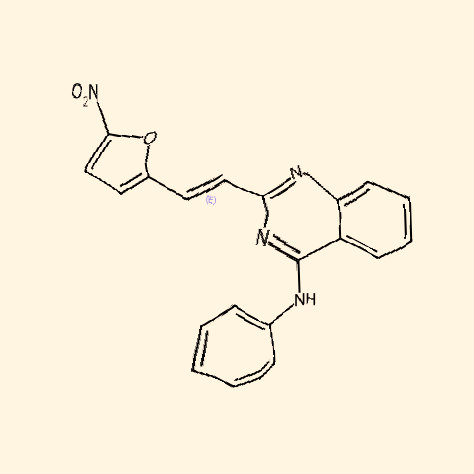 O=[N+]([O-])c1ccc(/C=C/c2nc(Nc3ccccc3)c3ccccc3n2)o1